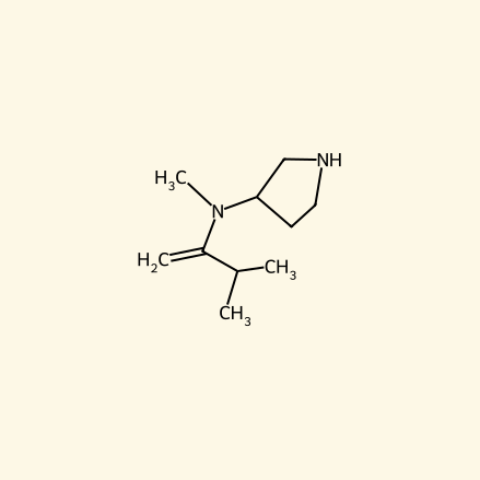 C=C(C(C)C)N(C)C1CCNC1